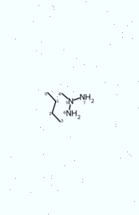 CCCC.CN(N)N